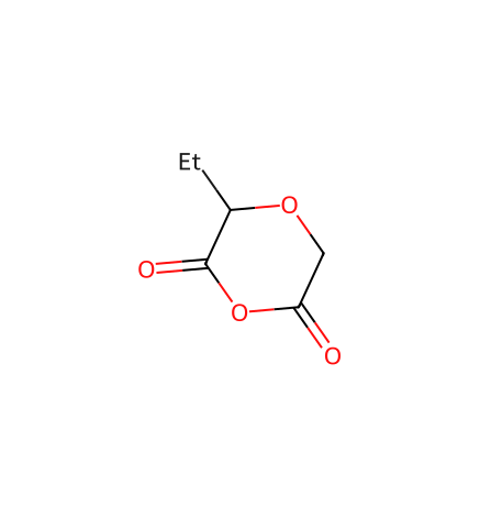 CCC1OCC(=O)OC1=O